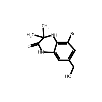 CC1(C)Nc2c(Br)cc(CO)cc2NC1=O